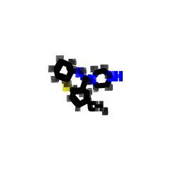 Cc1ccc2c(c1)C(N1CCNCC1)=Nc1ccccc1S2